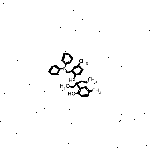 CCCC(CC)(Pc1ccc(C)cc1CN(c1ccccc1)c1ccccc1)c1cc(C)ccc1O